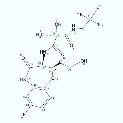 C[C@](O)(C(=O)NCC(F)(F)F)C(=O)N[C@@H]1C(=O)Nc2cc(F)ccc2O[C@@H]1CCO